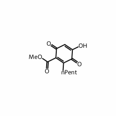 CCCCCC1=C(C(=O)OC)C(=O)C=C(O)C1=O